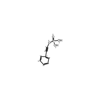 O=P(O)(O)OC#Cc1ccccc1